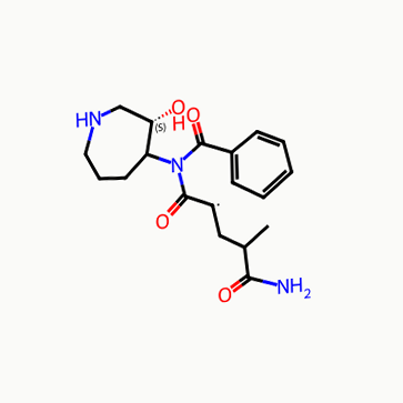 CC(C[CH]C(=O)N(C(=O)c1ccccc1)C1CCCNC[C@@H]1O)C(N)=O